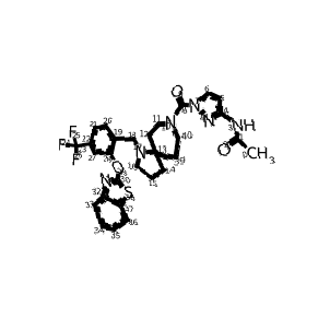 CC(=O)Nc1ccn(C(=O)N2CCC3(CCCN3Cc3ccc(C(F)(F)F)cc3Oc3nc4ccccc4s3)CC2)n1